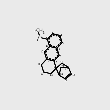 COc1cccc2cc3c(cc12)CCCC31CC2C=CC1C2